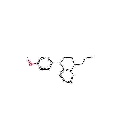 CCCC1CCC(c2ccc(OC)cc2)c2ccccc21